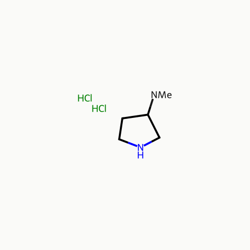 CNC1CCNC1.Cl.Cl